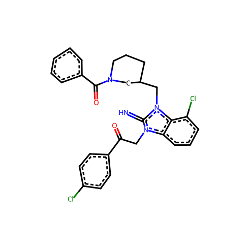 N=c1n(CC(=O)c2ccc(Cl)cc2)c2cccc(Cl)c2n1CC1CCCN(C(=O)c2ccccc2)C1